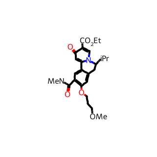 CCOC(=O)c1cn2c(cc1=O)-c1cc(C(=O)NC)c(OCCCOC)cc1CC2C(C)C